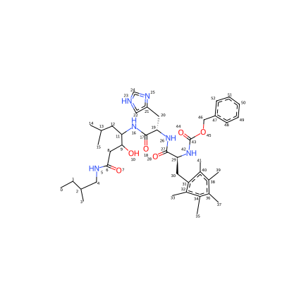 CCC(C)CNC(=O)CC(O)C(CC(C)C)NC(=O)[C@H](Cc1c[nH]cn1)NC(=O)[C@H](Cc1c(C)c(C)c(C)c(C)c1C)NC(=O)OCc1ccccc1